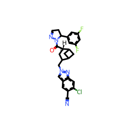 N#Cc1cc2cn(CC3C[C@H](C(=O)N4N=CCC4c4cc(F)cc(F)c4)C4CC3C4)nc2cc1Cl